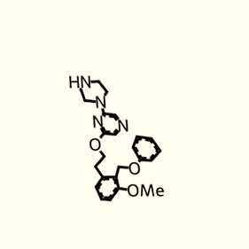 COc1cccc(CCOc2cncc(N3CCNCC3)n2)c1COc1ccccc1